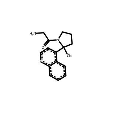 N#CC1(c2ccnc3ccccc23)CCCN1C(=O)CN